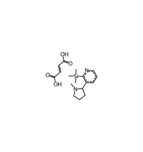 CN1CCCC1c1cccnc1[Si](C)(C)C.O=C(O)C=CC(=O)O